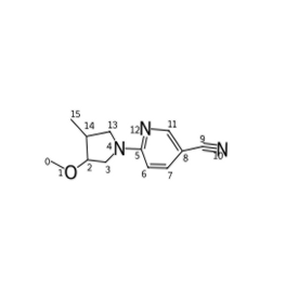 COC1CN(c2ccc(C#N)cn2)CC1C